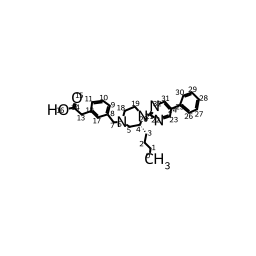 CCCC[C@@H]1CN(Cc2cccc(CC(=O)O)c2)CCN1c1ncc(-c2ccccc2)cn1